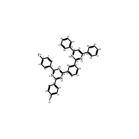 Fc1ccc(-c2nc(-c3ccc(F)cc3)nc(-c3cccc(-c4nc(-c5ccccc5)cc(-c5ccccc5)n4)c3)n2)cc1